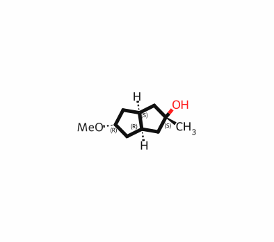 CO[C@H]1C[C@@H]2C[C@@](C)(O)C[C@@H]2C1